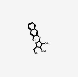 CC(=O)OCC1OC(Oc2cc3ccccc3cc2O)C(OC(C)=O)C1OC(C)=O